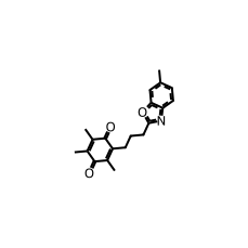 CC1=C(C)C(=O)C(CCCc2nc3ccc(C)cc3o2)=C(C)C1=O